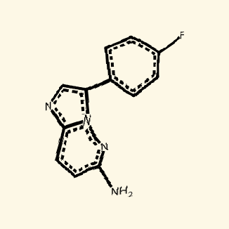 Nc1ccc2ncc(-c3ccc(F)cc3)n2n1